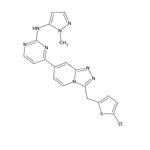 Cn1nccc1Nc1nccc(-c2ccn3c(Cc4ccc(Cl)s4)nnc3c2)n1